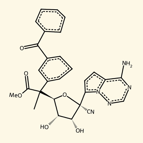 COC(=O)C(C)(c1cccc(C(=O)c2ccccc2)c1)[C@H]1O[C@@](C#N)(c2ccc3c(N)ncnn23)[C@H](O)[C@@H]1O